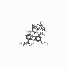 Cc1cc(C)cc(Nc2nc(N[C@H](C3CC3)[C@H](C)NC(=O)OC(C)(C)C)c(F)cc2C(N)=O)c1